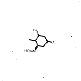 CC(=O)C1C/C(=N/O)C(C)C(C(C)=O)C1